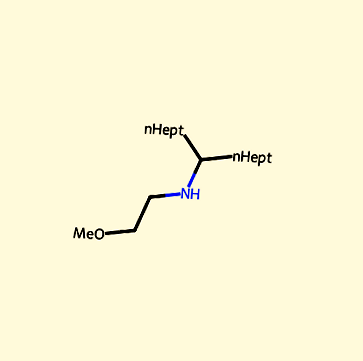 CCCCCCCC(CCCCCCC)NCCOC